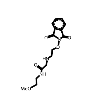 COCCNC(=O)CNCCON1C(=O)c2ccccc2C1=O